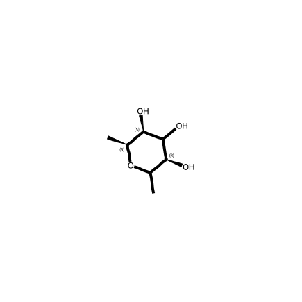 CC1O[C@@H](C)[C@@H](O)C(O)[C@H]1O